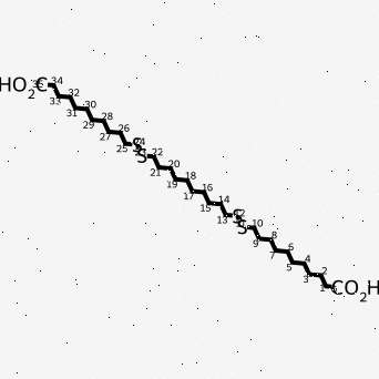 O=C(O)CCCCCCCCCCSSCCCCCCCCCCSSCCCCCCCCCCC(=O)O